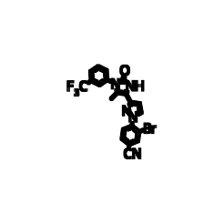 Cc1c(-c2ccn(-c3ccc(C#N)cc3Br)n2)[nH]c(=O)n1-c1cccc(C(F)(F)F)c1